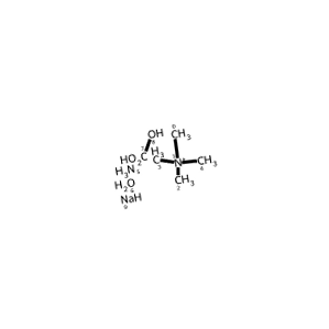 C[N+](C)(C)C.N.O.O=C(O)O.[NaH]